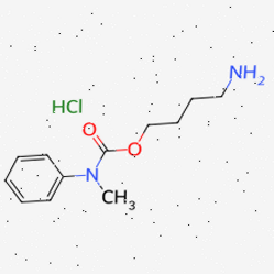 CN(C(=O)OCCCCN)c1ccccc1.Cl